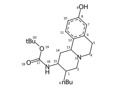 CCCCC1CN2CCc3cc(O)ccc3C2CC1NC(=O)OC(C)(C)C